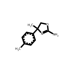 Cc1ccc(C2(C)COC(N)=N2)cc1